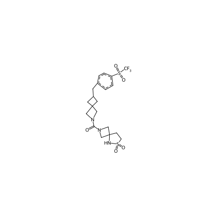 O=C(N1CC2(CC(Cc3ccc(S(=O)(=O)C(F)(F)F)cc3)C2)C1)N1CC2(CCS(=O)(=O)N2)C1